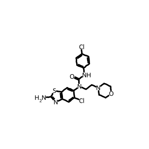 Nc1nc2cc(Cl)c(N(CCN3CCOCC3)C(=O)Nc3ccc(Cl)cc3)cc2s1